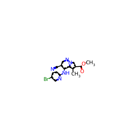 COC(=O)c1cn2ncc(C#N)c(Nc3ccc(Br)cn3)c2c1C